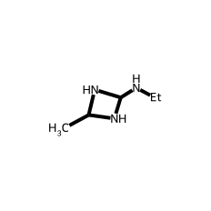 CCNC1NC(C)N1